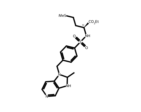 CCOC(=O)[C@H](CCSC)NS(=O)(=O)c1ccc(CN2c3ccncc3NC2C)cc1